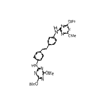 COc1nc(Nc2ccc(C=Cc3ccc(Nc4nc(OC)nc(OC)n4)cc3)cc2)nc(OC)n1